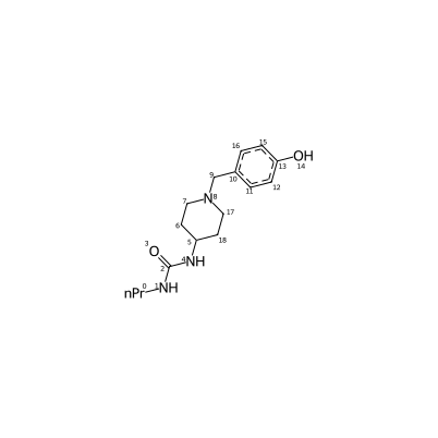 CCCNC(=O)NC1CCN(Cc2ccc(O)cc2)CC1